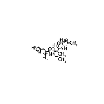 CC(C)C[C@H](NC(=O)C[C@H](O)[C@H](CC(C)C)NC(=O)[C@@H](N)Cc1c[nH]cn1)C(N)=O